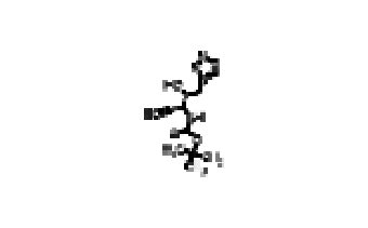 C#C[C@H](NC(=O)OC(C)(C)C)C(O)Cn1ccnn1